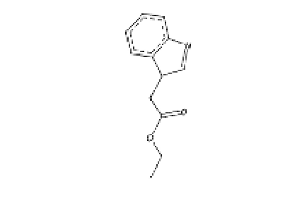 CCOC(=O)CC1C=Nc2ccccc21